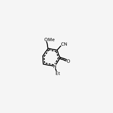 CCn1ccc(OC)c(C#N)c1=O